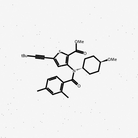 COC(=O)c1sc(C#CC(C)(C)C)cc1N(C(=O)c1ccc(C)cc1C)[C@H]1CC[C@H](OC)CC1